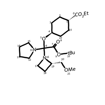 CCOC(=O)[C@H]1CC[C@H](OC(C(=O)OC(C)(C)C)(N2CCCC2)N2CC[C@H]2COC)CC1